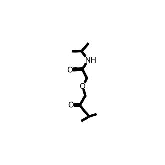 CC(C)NC(=O)COCC(=O)C(C)C